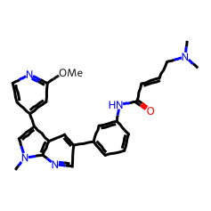 COc1cc(-c2cn(C)c3ncc(-c4cccc(NC(=O)/C=C/CN(C)C)c4)cc23)ccn1